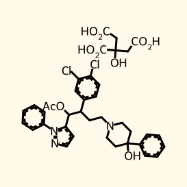 CC(=O)OC(c1ccnn1-c1ccccc1)C(CCN1CCC(O)(c2ccccc2)CC1)c1ccc(Cl)c(Cl)c1.O=C(O)CC(O)(CC(=O)O)C(=O)O